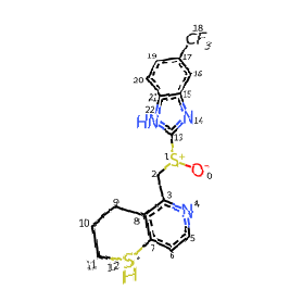 [O-][S+](Cc1nccc2c1CCC[SH]2)c1nc2cc(C(F)(F)F)ccc2[nH]1